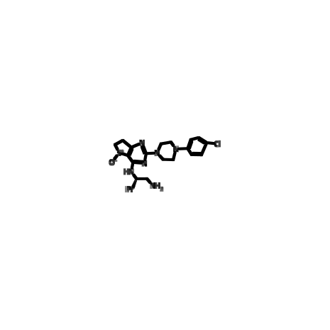 CC(C)[C@H](CN)Nc1nc(N2CCN(c3ccc(Cl)cc3)CC2)nc2c1[S+]([O-])CC2